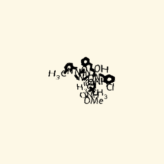 CCC(C)C(C(=O)NC(Cc1ccccc1)C(O)CN(Cc1cccc(Cl)c1)NC(=O)CC(C)(C)CNC(=O)OC)N1CCN(Cc2cccc(C)n2)C1=O